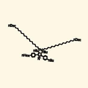 CCCCCCCCCCCCCCCCCCCCCCCCCC[CH2][Pd][CH2]CCCCCCCCCCCCCCCCCCCCCCCCCC.CCCCCCc1ccc(C2=C(CCCC)C(CCCC)=C(c3ccc(CCCC)cc3)[N+]2=[N-])cc1